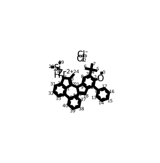 COc1c(C(C)(C)C)cc2c(c1-c1ccccc1)C=C(C)C2C1=C(C)[CH]([Zr+2][SiH](C)C)c2cccc(-c3ccccc3)c21.[Cl-].[Cl-]